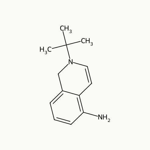 CC(C)(C)N1C=Cc2c(N)cccc2C1